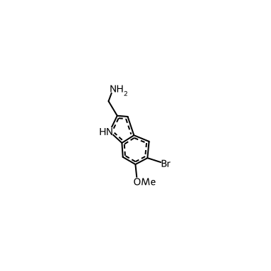 COc1cc2[nH]c(CN)cc2cc1Br